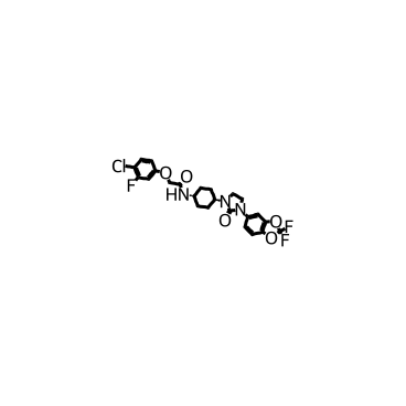 O=C(COc1ccc(Cl)c(F)c1)N[C@H]1CC[C@H](N2CCN(c3ccc4c(c3)OC(F)(F)O4)C2=O)CC1